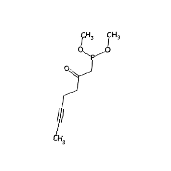 CC#CCCC(=O)CP(OC)OC